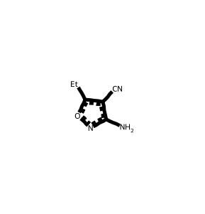 CCc1onc(N)c1C#N